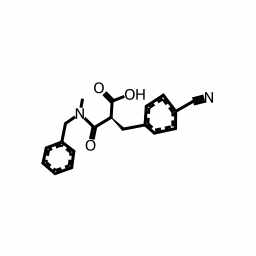 CN(Cc1ccccc1)C(=O)[C@H](Cc1ccc(C#N)cc1)C(=O)O